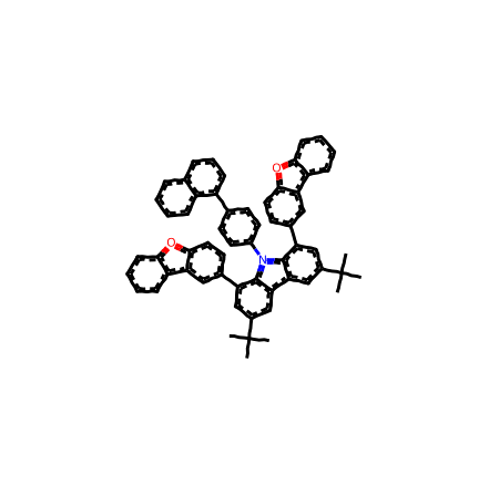 CC(C)(C)c1cc(-c2ccc3oc4ccccc4c3c2)c2c(c1)c1cc(C(C)(C)C)cc(-c3ccc4oc5ccccc5c4c3)c1n2-c1ccc(-c2cccc3ccccc23)cc1